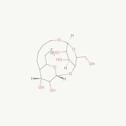 CCC1O[C@@H]2OC3C(CO)O[C@H](OCCCCC1[C@@H](O)C2O)C(O)[C@@H]3O